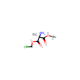 CC[C@@](N)(C(=O)OCCl)C(=O)OC(C)(C)C